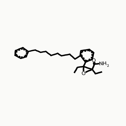 CCC1(C(N)=O)OC1(CC)c1ccccc1CCCCCCCCc1ccccc1